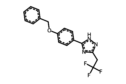 FC(F)(F)Cc1n[nH]c(-c2ccc(OCc3ccccc3)cc2)n1